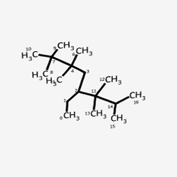 CCC(CC(C)(C)C(C)(C)C)C(C)(C)[C](C)C